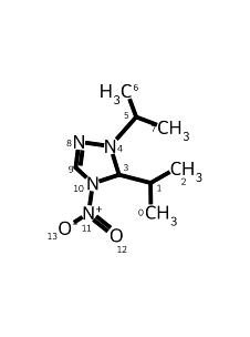 CC(C)C1N(C(C)C)N=CN1[N+](=O)[O-]